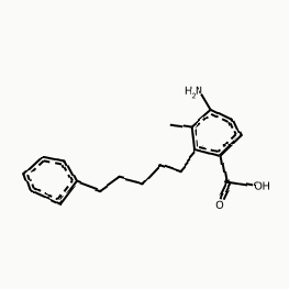 Cc1c(N)ccc(C(=O)O)c1CCCCCc1ccccc1